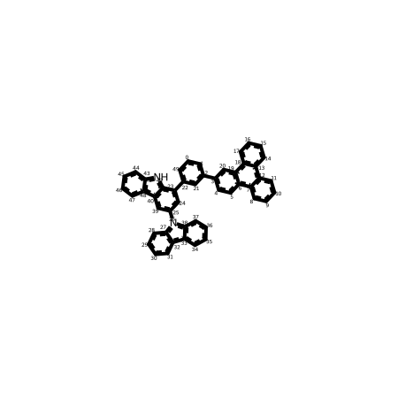 c1cc(-c2ccc3c4ccccc4c4ccccc4c3c2)cc(-c2cc(-n3c4ccccc4c4ccccc43)cc3c2[nH]c2ccccc23)c1